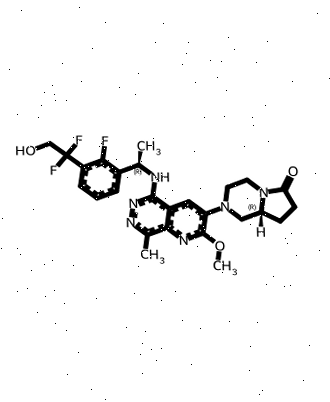 COc1nc2c(C)nnc(N[C@H](C)c3cccc(C(F)(F)CO)c3F)c2cc1N1CCN2C(=O)CC[C@@H]2C1